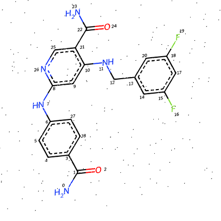 NC(=O)c1ccc(Nc2cc(NCc3cc(F)cc(F)c3)c(C(N)=O)cn2)cc1